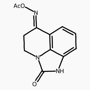 CC(=O)O/N=C1\CCn2c(=O)[nH]c3cccc1c32